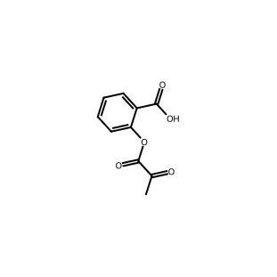 CC(=O)C(=O)Oc1ccccc1C(=O)O